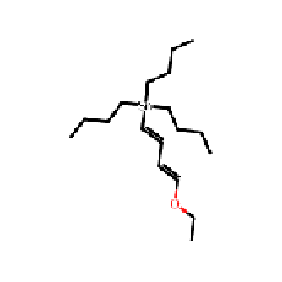 CCC[CH2][Sn]([CH]=CC=COCC)([CH2]CCC)[CH2]CCC